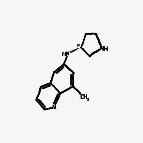 Cc1cc(N[C@@H]2CCNC2)cc2cccnc12